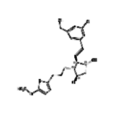 O=C(O)Oc1ccc(CCC[C@@H]2[C@@H](C=Cc3cc(Cl)cc(CO)c3)[C@H](O)C[C@H]2Cl)s1